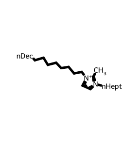 CCCCCCCCCCCCCCCCCC[n+]1ccn(CCCCCCC)c1C